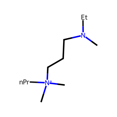 CCC[N+](C)(C)CCCN(C)CC